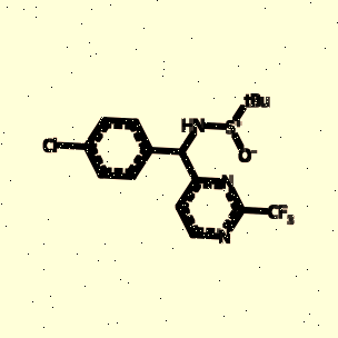 CC(C)(C)[S+]([O-])NC(c1ccc(Cl)cc1)c1ccnc(C(F)(F)F)n1